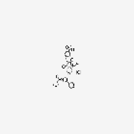 CC(C)CN1C(=O)N(Cc2ccc(S(C)(=O)=O)cc2)C(=O)C12CCN(C[C@H]1CN(C(=O)C3CCCC3)C[C@@H]1c1ccccc1)CC2.Cl